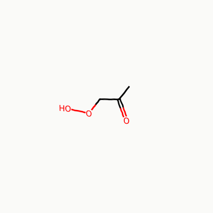 CC(=O)COO